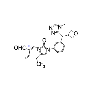 C=C/C(C=O)=C\n1c(CC(F)(F)F)cn(-c2cccc(C(c3nncn3C)C3COC3)c2)c1=O